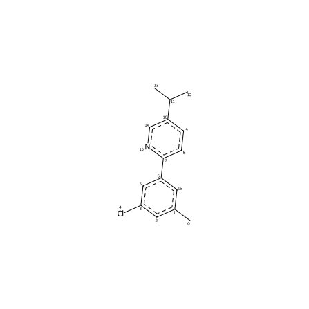 Cc1cc(Cl)cc(-c2ccc(C(C)C)cn2)c1